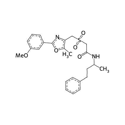 COc1cccc(-c2nc(CS(=O)(=O)CC(=O)NC(C)CCc3ccccc3)c(C)o2)c1